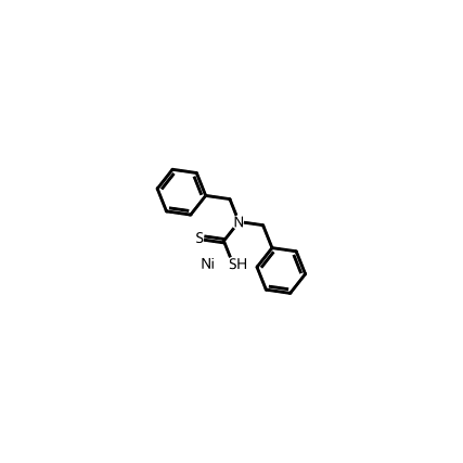 S=C(S)N(Cc1ccccc1)Cc1ccccc1.[Ni]